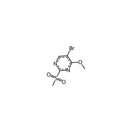 COc1nc(S(C)(=O)=O)ncc1Br